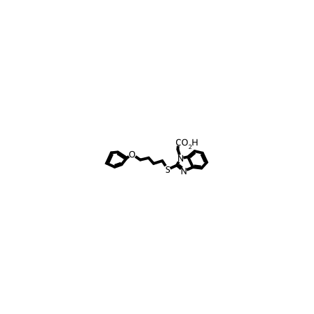 O=C(O)Cn1c(SCCCCOc2ccccc2)nc2ccccc21